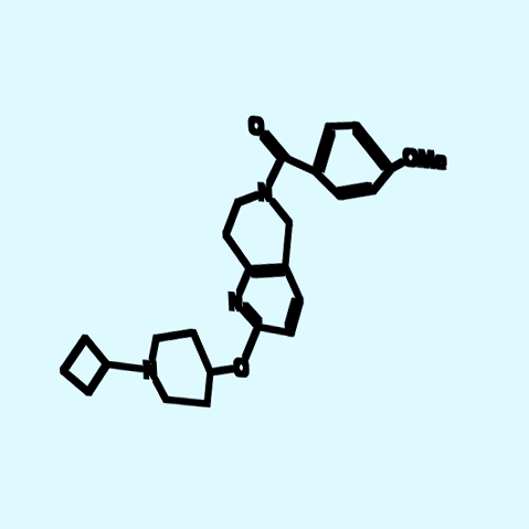 COc1ccc(C(=O)N2CCc3nc(OC4CCN(C5CCC5)CC4)ccc3C2)cc1